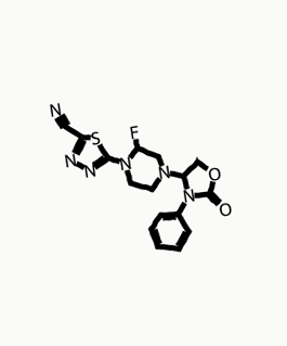 N#Cc1nnc(N2CCN(C3[CH]OC(=O)N3c3ccccc3)CC2F)s1